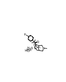 CN1CC2CC[C@@H](N(C)C)C(C1)[C@@H]2OC(=O)c1ccc(F)cc1.Cl.Cl.O